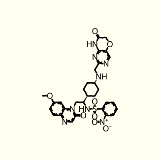 COc1ccc2ncc(=O)n(CC(NS(=O)(=O)c3ccccc3[N+](=O)[O-])[C@H]3CC[C@H](NCc4ncc5c(n4)NC(=O)CO5)CC3)c2c1